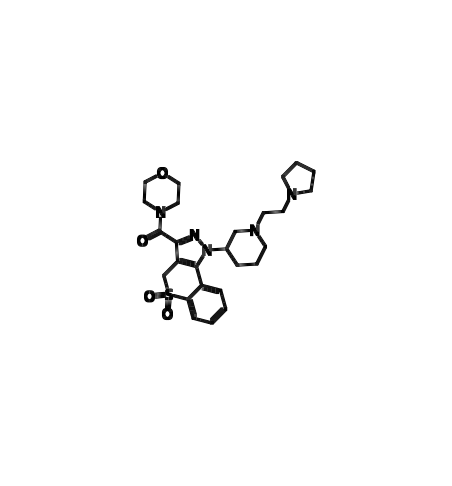 O=C(c1nn(C2CCCN(CCN3CCCC3)C2)c2c1CS(=O)(=O)c1ccccc1-2)N1CCOCC1